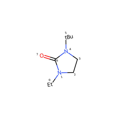 CCN1CCN(C(C)(C)C)C1=O